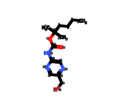 CCCCC(C)(C)OC(=O)Nc1cnc(CBr)cn1